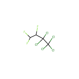 FC(F)C(F)C(Cl)(Cl)C(Cl)(Cl)Cl